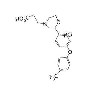 Cl.O=C(O)CCN1CCOC(c2ccc(Oc3ccc(C(F)(F)F)cc3)cc2)C1